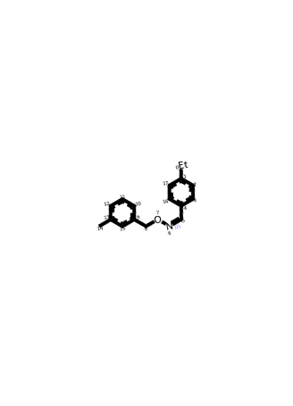 CCc1ccc(/[C]=N\OCc2cccc(C)c2)cc1